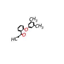 C#CC(=O)c1ccccc1Oc1cc(C)cc(C)c1